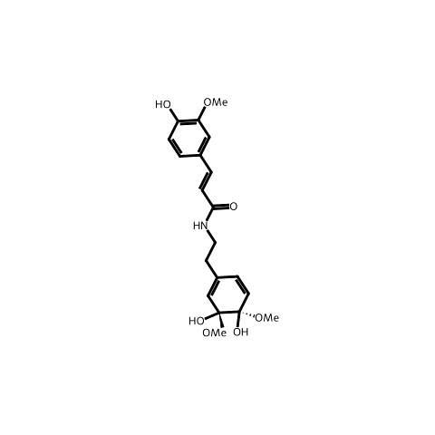 COc1cc(C=CC(=O)NCCC2=C[C@](O)(OC)[C@@](O)(OC)C=C2)ccc1O